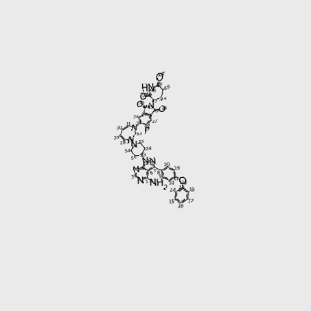 Nc1ncnc2c1c(-c1ccc(Oc3ccccc3)cc1)nn2C1CCN(N2C=CC=CN(c3cc4c(cc3F)C(=O)N(C3CCC(=O)NC3=O)C4=O)C2)CC1